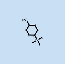 C[Si](C)(C)C1CC[CH]([SnH])CC1